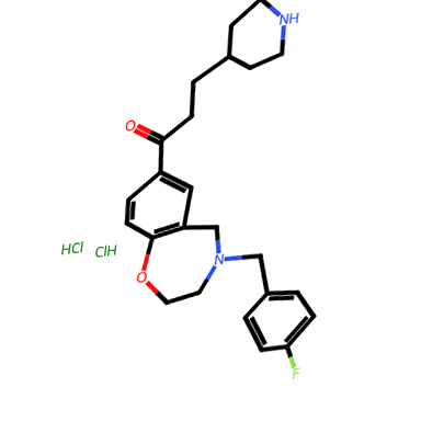 Cl.Cl.O=C(CCC1CCNCC1)c1ccc2c(c1)CN(Cc1ccc(F)cc1)CCO2